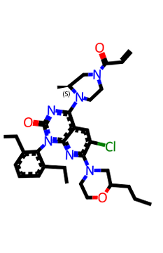 C=CC(=O)N1CCN(c2nc(=O)n(-c3c(CC)cccc3CC)c3nc(N4CCOC(CCC)C4)c(Cl)cc23)[C@@H](C)C1